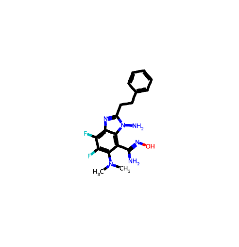 CN(C)c1c(F)c(F)c2nc(CCc3ccccc3)n(N)c2c1C(N)=NO